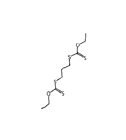 CCOC(=S)SCCCSC(=S)OCC